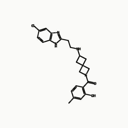 Cc1ccc(C(=O)N2CC3(CC(NCCc4nc5cc(Cl)ccc5[nH]4)C3)C2)c(O)c1